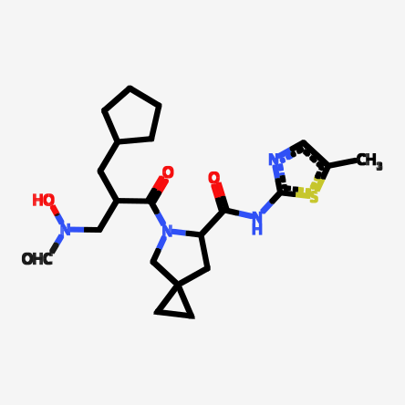 Cc1cnc(NC(=O)C2CC3(CC3)CN2C(=O)C(CC2CCCC2)CN(O)C=O)s1